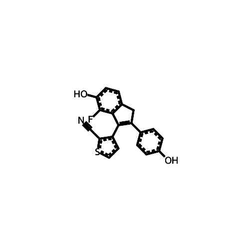 N#Cc1sccc1C1=C(c2ccc(O)cc2)Cc2ccc(O)c(F)c21